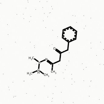 CC(CC(=O)Cc1ccccc1)=NN(C)[SiH](C)C